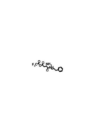 N[C@@H](CC(=O)OC(=O)C(F)(F)F)C(=O)NCCCc1ccccc1